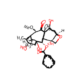 CO[C@H]1C(=O)[C@@]2(C)C([C@H](OC(=O)c3ccccc3)[C@]3(O)C[C@H](O)C(C)=C1C3(C)C)[C@]1(O)CO[C@@H]1C[C@@H]2O